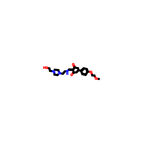 COCCOc1ccc(C2CC(=O)C(=CNCCN3CCN(CCO)CC3)C(=O)C2)cc1